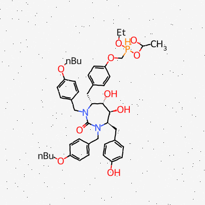 CCCCOc1ccc(CN2C(=O)N(Cc3ccc(OCCCC)cc3)[C@H](Cc3ccc(OC[PH]4(OCC)OC(C)O4)cc3)[C@H](O)[C@@H](O)[C@H]2Cc2ccc(O)cc2)cc1